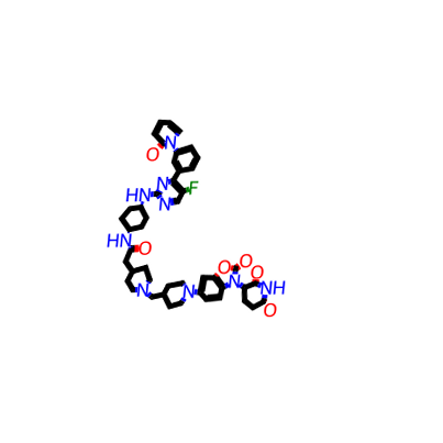 O=C1CCC(n2c(=O)oc3cc(N4CCC(CN5CCC(CC(=O)N[C@H]6CC[C@H](Nc7ncc(F)c(-c8cccc(-n9ccccc9=O)c8)n7)CC6)CC5)CC4)ccc32)C(=O)N1